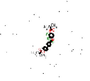 C=C(C)C(=O)Oc1ccc(-c2ccc(C(F)(F)Oc3ccc(OC(=O)C(=C)C)c(F)c3F)cc2)cc1